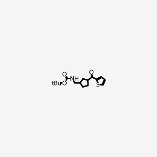 CC(C)(C)OC(=O)NCC1CCC(C(=O)c2cccs2)C1